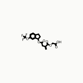 C=C(CC(=O)OC1CCc2ccc(OC(F)(F)F)cc21)C(=O)OCC(=O)O